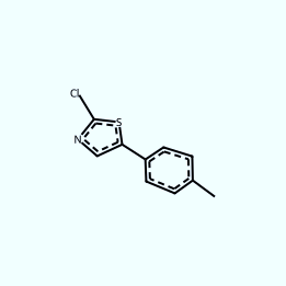 Cc1ccc(-c2cnc(Cl)s2)cc1